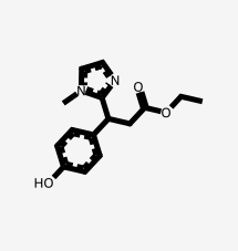 CCOC(=O)CC(c1ccc(O)cc1)c1nccn1C